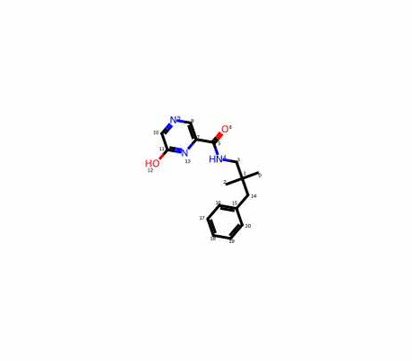 CC(C)(CNC(=O)c1cncc(O)n1)Cc1ccccc1